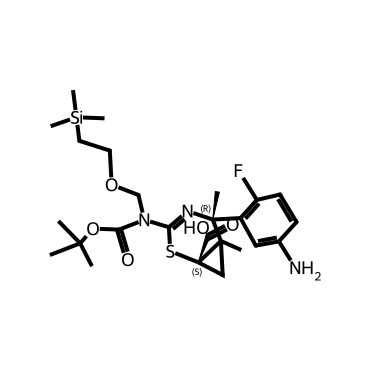 CC(C)(C)OC(=O)N(COCC[Si](C)(C)C)C1=N[C@](C)(c2cc(N)ccc2F)C2(C)C[C@]2(C(=O)O)S1